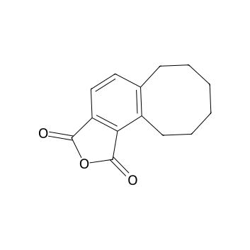 O=C1OC(=O)c2c1ccc1c2CCCCCC1